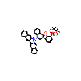 CC1(C)OB(c2cccc3c2oc2c4ccccc4c(-n4c5cc6ccccc6cc5c5cc6ccccc6cc54)cc32)OC1(C)C